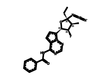 CC[C@@]1(N=[N+]=[N-])O[C@@H](c2ccc3c(NC(=O)c4ccccc4)ncnn23)[C@H](F)[C@@H]1C